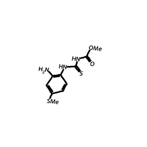 COC(=O)NC(=S)Nc1ccc(SC)cc1N